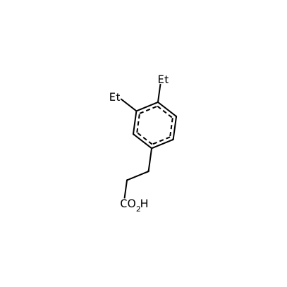 CCc1ccc(CCC(=O)O)cc1CC